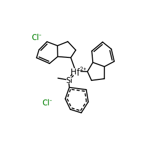 C[Si](c1ccccc1)=[Hf+2]([CH]1CCC2C=CC=CC21)[CH]1CCC2C=CC=CC21.[Cl-].[Cl-]